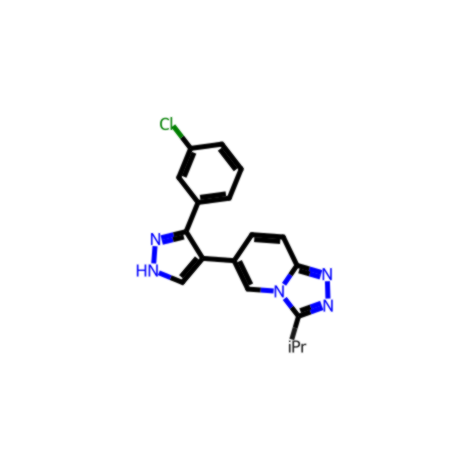 CC(C)c1nnc2ccc(-c3c[nH]nc3-c3cccc(Cl)c3)cn12